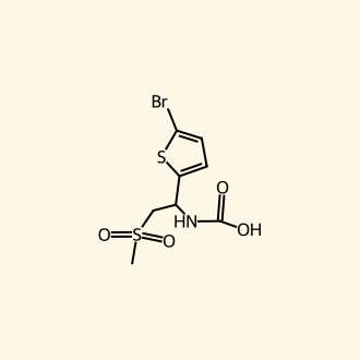 CS(=O)(=O)CC(NC(=O)O)c1ccc(Br)s1